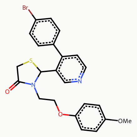 COc1ccc(OCCN2C(=O)CSC2c2cnccc2-c2ccc(Br)cc2)cc1